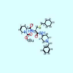 CC(C)(C)OC(=O)N1CC=CC[C@H]1C(=O)N[C@@H](CSCC1CCCCC1)C(=O)NC1CCN(Cc2ccccc2)CC1